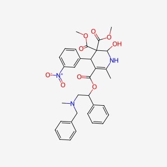 COC(=O)C1(C(=O)OC)C(O)NC(C)=C(C(=O)OC(CN(C)Cc2ccccc2)c2ccccc2)C1c1cccc([N+](=O)[O-])c1